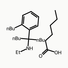 CCCCCC(=O)O.CCCCc1ccccc1C(CCCC)(CCCC)NCC